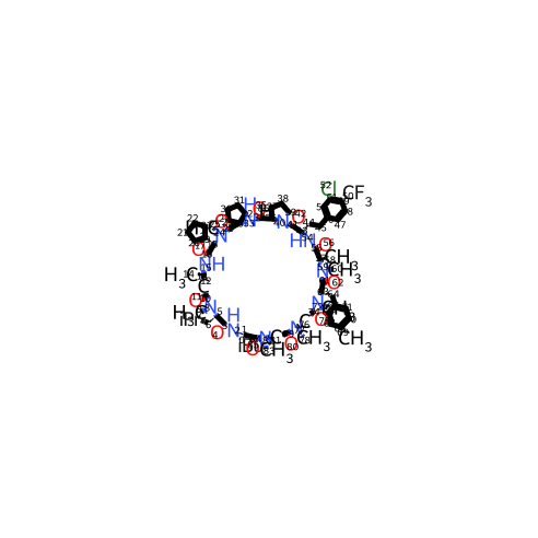 CC[C@H](C)[C@@H]1NC(=O)[C@H](CC(C)C)N(C)C(=O)C[C@@H](C)NC(=O)[C@H](C2CCCC2)N(C)C(=O)C2(CCCC2)NC(=O)[C@@H]2CCCN2C(=O)[C@H](CCc2ccc(C(F)(F)F)c(Cl)c2)NC(=O)[C@@H](C)N(C)C(=O)[C@H](Cc2ccc(C)cc2)N(C)C(=O)CN(C)C(=O)CN(C)C1=O